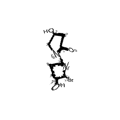 O=C1C[C@H](O)CN1c1ccc(O)c(Br)n1